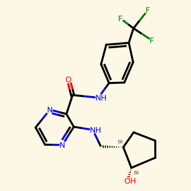 O=C(Nc1ccc(C(F)(F)F)cc1)c1nccnc1NC[C@@H]1CCC[C@@H]1O